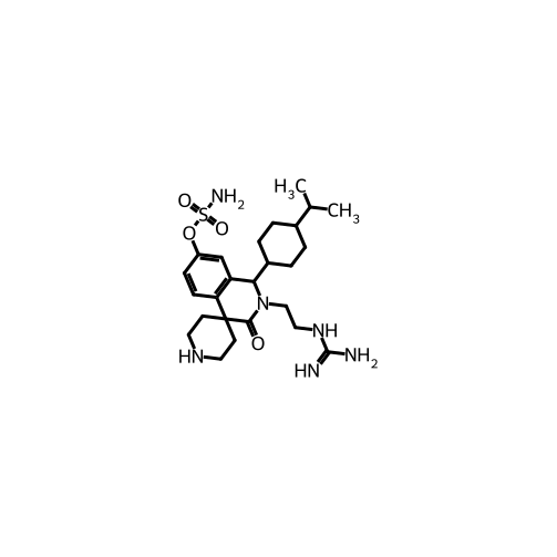 CC(C)C1CCC(C2c3cc(OS(N)(=O)=O)ccc3C3(CCNCC3)C(=O)N2CCNC(=N)N)CC1